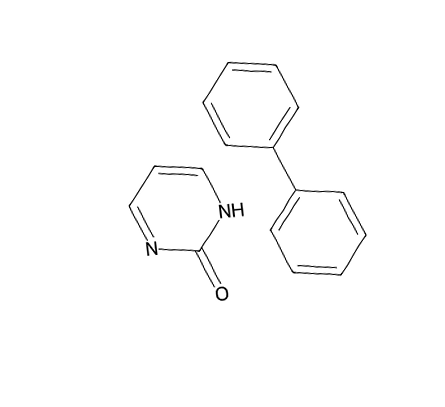 O=c1nccc[nH]1.c1ccc(-c2ccccc2)cc1